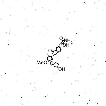 COc1ccc(N2Cc3ccc(CN(O)C(N)=O)cc3C2=O)cc1OC1CCC(O)C1